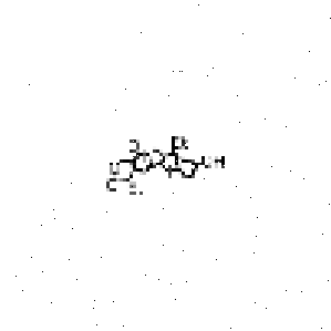 CCc1c2c(nc3ccc(O)cc13)-c1cc3c(c(=O)n1C2)COC(=O)C3CC